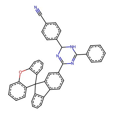 N#Cc1ccc(C2N=C(c3ccc4c(c3)C3(c5ccccc5Oc5ccccc53)c3ccccc3-4)N=C(c3ccccc3)N2)cc1